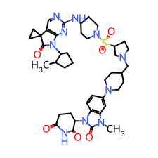 CC1CCCC1N1C(=O)C2(CC2)c2cnc(NC3CCN(S(=O)(=O)C4CCN(CC5CCN(c6ccc7c(c6)n(C)c(=O)n7C6CCC(=O)NC6=O)CC5)C4)CC3)nc21